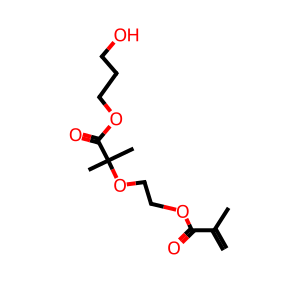 C=C(C)C(=O)OCCOC(C)(C)C(=O)OCCCO